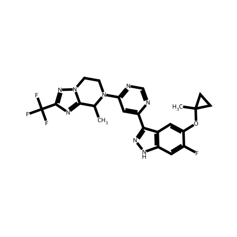 CC1c2nc(C(F)(F)F)nn2CCN1c1cc(-c2n[nH]c3cc(F)c(OC4(C)CC4)cc23)ncn1